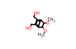 COC1C2C=CC(C(CO)C2CO)C1OC